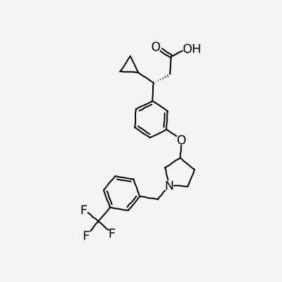 O=C(O)C[C@H](c1cccc(OC2CCN(Cc3cccc(C(F)(F)F)c3)C2)c1)C1CC1